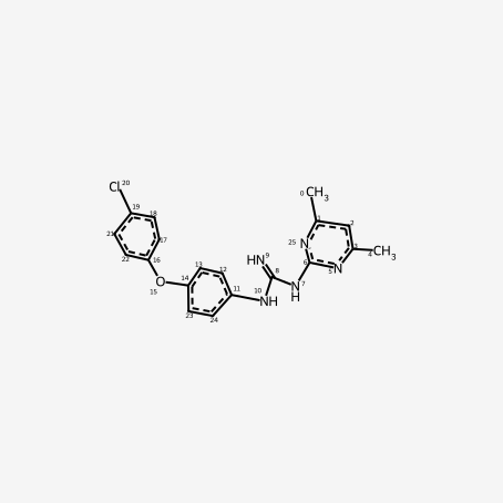 Cc1cc(C)nc(NC(=N)Nc2ccc(Oc3ccc(Cl)cc3)cc2)n1